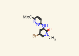 COc1ccc(Nc2cc(Br)cn(C)c2=O)nn1